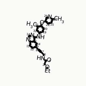 CCOCC(=O)NCC#Cc1ccc2ncnc(Nc3ccc(Oc4ccc(C)nc4)c(C)c3)c2c1